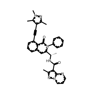 Cc1nn(C)c(C)c1C#Cc1cccc2cc([C@H](C)NC(=O)c3c(C)nn4cccnc34)n(-c3ccccc3)c(=O)c12